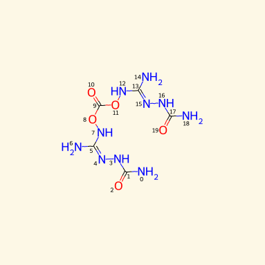 NC(=O)NN=C(N)NOC(=O)ONC(N)=NNC(N)=O